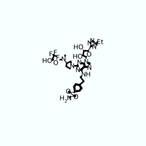 CCn1nnc([C@H]2O[C@@H](n3cnc4c(NCCc5ccc(S(N)(=O)=O)cc5)nc(N5CC[C@@H](N(C)C)C5)nc43)[C@H](O)[C@@H]2O)n1.O=C(O)C(F)(F)F